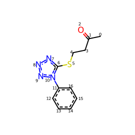 CC(=O)CCSc1nnnn1-c1ccccc1